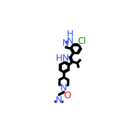 CC(C)c1c(-c2ccc(Cl)c3[nH]ncc23)[nH]c2ccc(C3CCN(C(=O)CN(C)C)CC3)cc12